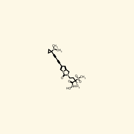 CN(C)C1(C#CC#Cc2cc3n(c2)C(=O)N(CCC(C)(C(=O)NO)S(C)(=O)=O)C3)CC1